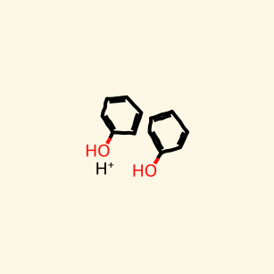 Oc1ccccc1.Oc1ccccc1.[H+]